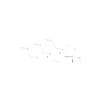 CC(=O)[C@@]1(O)C(C)(O)C[C@H]2[C@@H]3C=CC4=CC(=O)CC[C@]4(C)[C@H]3CC[C@@]21C